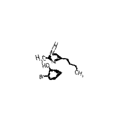 CCCCc1c[nH]c(C)n1.Oc1ccccc1Br